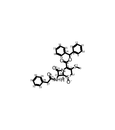 CSC1=C(C(=O)OC(c2ccccc2)c2ccccc2)N2C(=O)C(NC(=O)Cc3ccccc3)[C@@H]2[S+]([O-])C1